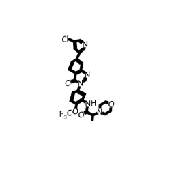 CC(C(=O)Nc1cc(-n2cnc3cc(-c4cncc(Cl)c4)ccc3c2=O)ccc1OC(F)(F)F)N1CCOCC1